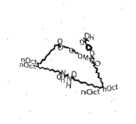 CCCCCCCCC(CCCCCCCCC(=O)NCCNC(=O)CCCCCCCCC(CCCCCCCC)C(CCCCCCCC)CCCCCCCCC(=O)OCCOc1ccc(C(=O)C(C)(C)O)cc1)C(CCCCCCCC)CCCCCCCCC(=O)OCCCOCCCOC